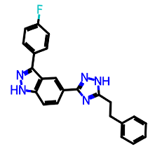 Fc1ccc(-c2n[nH]c3ccc(-c4n[nH]c(CCc5ccccc5)n4)cc23)cc1